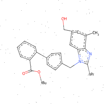 CCCc1nc2c(C)cc(CO)cc2n1Cc1ccc(-c2ccccc2C(=O)OC(C)(C)C)cc1